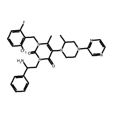 Cc1c(N2CCN(c3cnccn3)CC2C)c(=O)n(CC(N)c2ccccc2)c(=O)n1Cc1c(F)cccc1C(F)(F)F